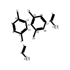 C=CCC.C=CCC.Cc1ccc(C)cc1.Cc1cccc(C)c1